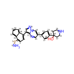 NSc1ccc(-c2cnn3cc(-c4ccc(C5(O)CCNCC5)cc4)cnc23)c2ccccc12